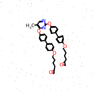 Cc1cnc(Oc2ccc(-c3ccc(OCCCCC4CO4)cc3)cc2)nc1Oc1ccc(-c2ccc(OCCCCC3CO3)cc2)cc1